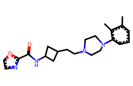 Cc1cccc(N2CCN(CCC3CC(NC(=O)c4ncco4)C3)CC2)c1C